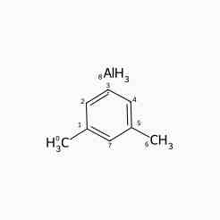 Cc1c[c]cc(C)c1.[AlH3]